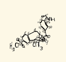 CC1(C)C2Cc3ccc(S(C)(=O)=O)cc3[C@]1(C)CCN2C(=O)c1ccc2nc[nH]c2c1